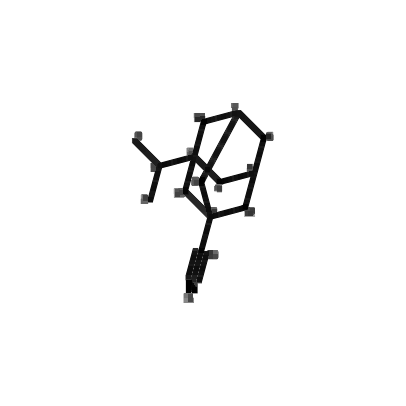 CC(C)C12CC3CC(CC(C#N)(C3)C1)C2